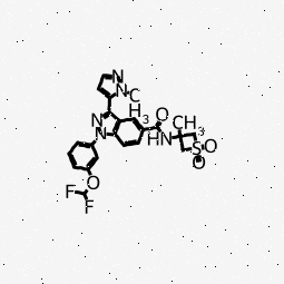 Cn1nccc1-c1nn(-c2cccc(OC(F)F)c2)c2ccc(C(=O)NC3(C)CS(=O)(=O)C3)cc12